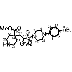 CCCCc1ccc(N2CCN(S(=O)(=O)C(CC3(C(=O)OC)CCNCC3)OC)CC2)cc1